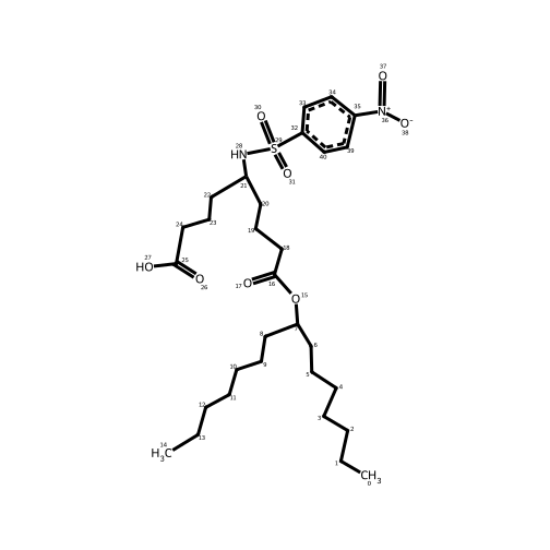 CCCCCCCC(CCCCCCC)OC(=O)CCCC(CCCC(=O)O)NS(=O)(=O)c1ccc([N+](=O)[O-])cc1